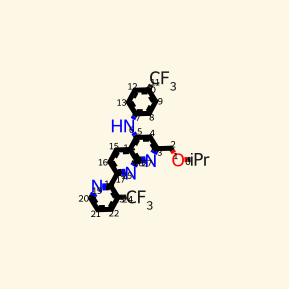 CC(C)OCc1cc(Nc2ccc(C(F)(F)F)cc2)c2ccc(-c3ncccc3C(F)(F)F)nc2n1